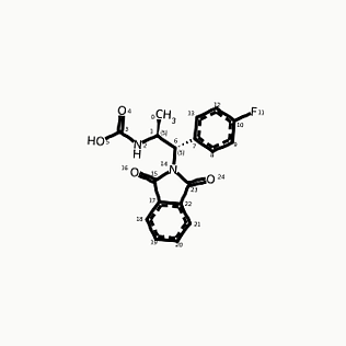 C[C@H](NC(=O)O)[C@H](c1ccc(F)cc1)N1C(=O)c2ccccc2C1=O